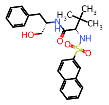 CC(C)(C)[C@H](NS(=O)(=O)c1ccc2ccccc2c1)C(=O)N[C@H](CO)Cc1ccccc1